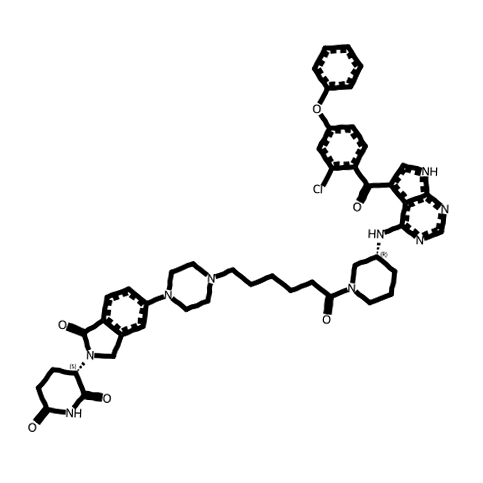 O=C1CC[C@H](N2Cc3cc(N4CCN(CCCCCC(=O)N5CCC[C@@H](Nc6ncnc7[nH]cc(C(=O)c8ccc(Oc9ccccc9)cc8Cl)c67)C5)CC4)ccc3C2=O)C(=O)N1